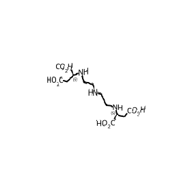 O=C(O)C[C@H](NCCNCCN[C@@H](CC(=O)O)C(=O)O)C(=O)O